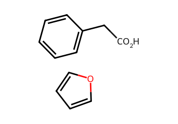 O=C(O)Cc1ccccc1.c1ccoc1